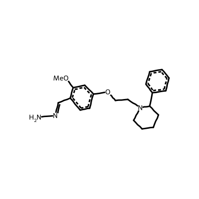 COc1cc(OCCN2CCCCC2c2ccccc2)ccc1C=NN